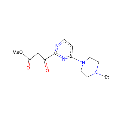 CCN1CCN(c2ccnc(C(=O)CC(=O)OC)n2)CC1